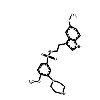 COc1ccc2[nH]cc(CCNS(=O)(=O)c3ccc(OC)c(N4CCNCC4)c3)c2c1